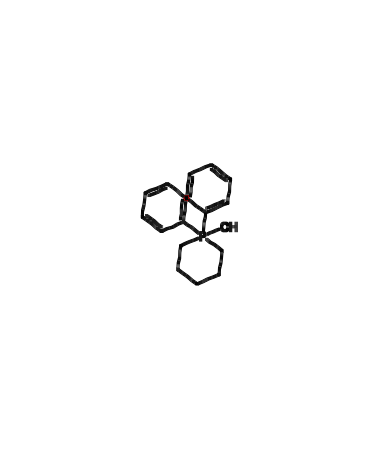 OP1(c2ccccc2)(c2ccccc2)CCCCC1